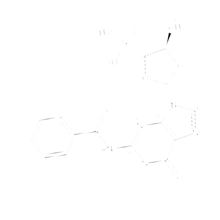 [2H]C([2H])(O)[C@H]1O[C@@H](n2cnc3c(=O)[nH]c(NC(=O)c4ccccc4)nc32)C[C@@H]1O